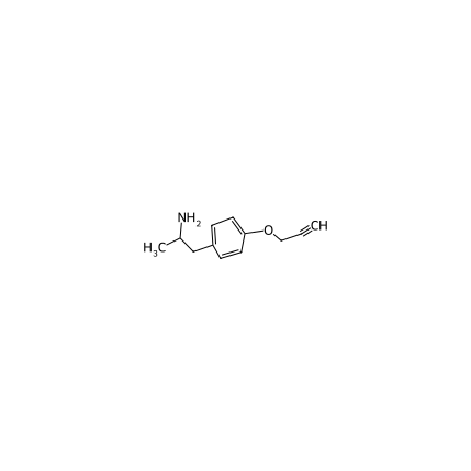 C#CCOc1ccc(CC(C)N)cc1